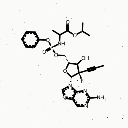 CC#C[C@@]1(F)C(O)[C@@H](COP(=O)(NC(C)C(=O)OC(C)C)Oc2ccccc2)O[C@H]1n1cnc2cnc(N)nc21